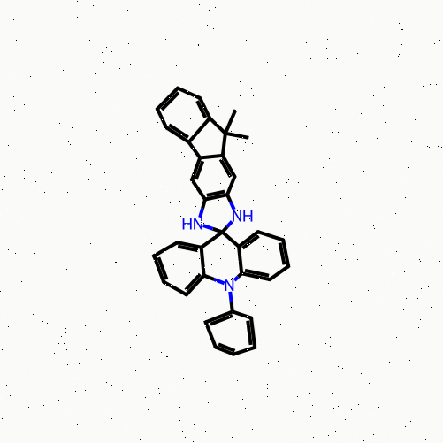 CC1(C)c2ccccc2-c2cc3c(cc21)NC1(N3)c2ccccc2N(c2ccccc2)c2ccccc21